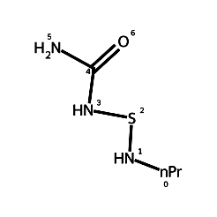 CCCNSNC(N)=O